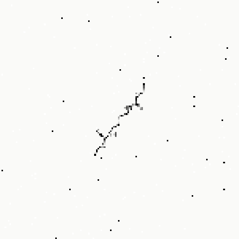 CCOC(=S)NCCCCNC(=S)OCC